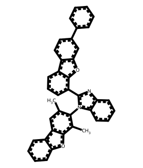 Cc1cc2c(oc3ccccc32)c(C)c1-n1c(-c2cccc3c2oc2cc(-c4ccccc4)ccc23)nc2ccccc21